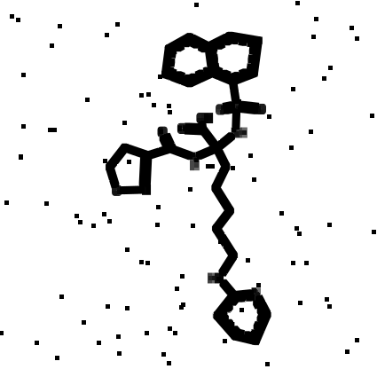 O=C(NC(CCCCCNc1ccccn1)(NS(=O)(=O)c1cccc2ccccc12)C(=O)O)C1=NOCC1